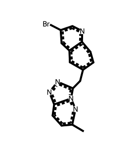 Cc1ccc2nnc(Cc3ccc4ncc(Br)cc4c3)n2n1